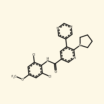 O=C(Nc1c(Cl)cc(OC(F)(F)F)cc1Cl)c1cnc(N2CCCC2)c(-c2cncnc2)c1